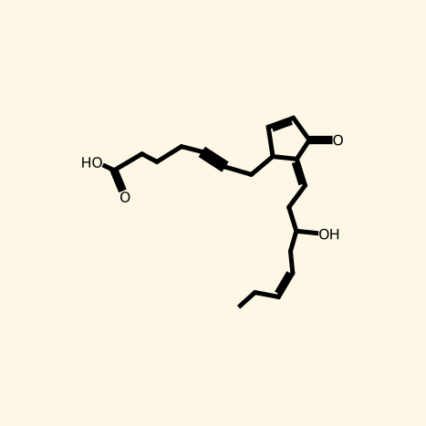 CC/C=C\CC(O)C/C=C1/C(=O)C=CC1CC#CCCCC(=O)O